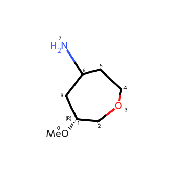 CO[C@H]1COCCC(N)C1